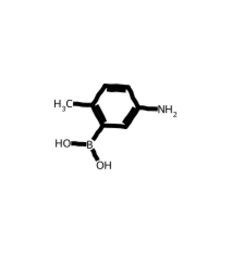 Cc1ccc(N)cc1B(O)O